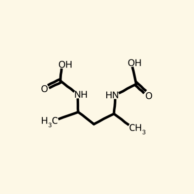 CC(CC(C)NC(=O)O)NC(=O)O